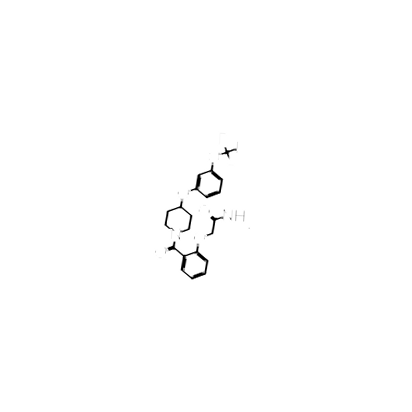 NC(=O)COc1ccccc1C(=O)N1CCC(Oc2cccc(OC(F)(F)F)c2)CC1